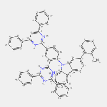 Cc1ccccc1-c1ccc2c3ccccc3n(-c3ccc(-c4nc(-c5ccccc5)cc(-c5ccccc5)n4)cc3-c3nc(-c4ccccc4)nc(-c4ccccc4)n3)c2c1